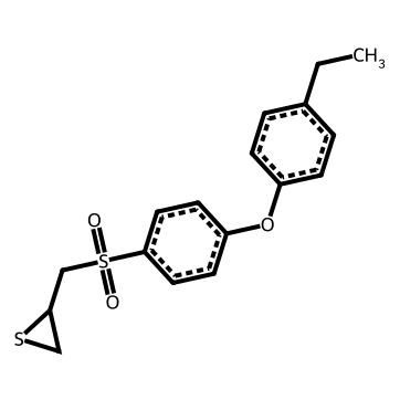 CCc1ccc(Oc2ccc(S(=O)(=O)CC3CS3)cc2)cc1